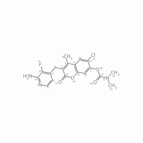 Cc1c(Cc2ccnc(N)c2F)c(=O)oc2cc(OC(=O)N(C)C)c(Cl)cc12